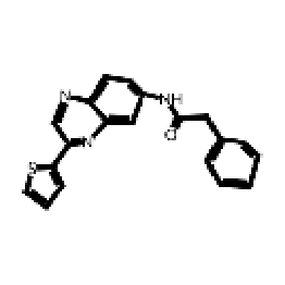 O=C(Cc1ccccc1)Nc1ccc2n[c]c(-c3cccs3)nc2c1